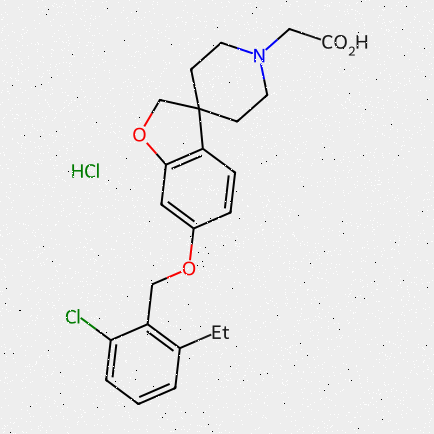 CCc1cccc(Cl)c1COc1ccc2c(c1)OCC21CCN(CC(=O)O)CC1.Cl